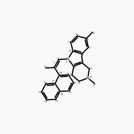 C/C(=C/n1c2c(c3cc(C)ccc31)CN(C)CC2)c1cccc2ccccc12